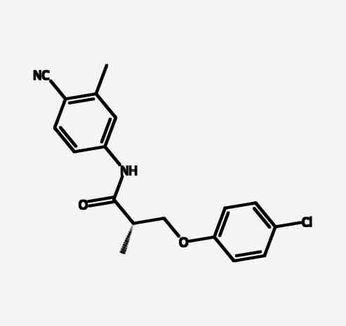 Cc1cc(NC(=O)[C@@H](C)COc2ccc(Cl)cc2)ccc1C#N